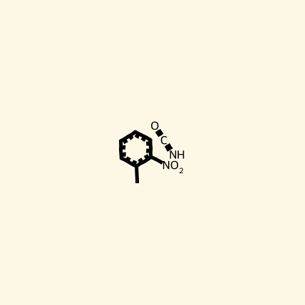 Cc1ccccc1[N+](=O)[O-].N=C=O